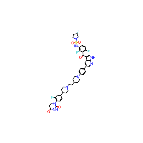 O=C1CCN(c2ccc(C3CCN(CCC4CCN(c5ccc(-c6cnc7[nH]cc(C(=O)c8c(F)ccc(NS(=O)(=O)N9CC[C@@H](F)C9)c8F)c7c6)cc5)CC4)CC3)cc2F)C(=O)N1